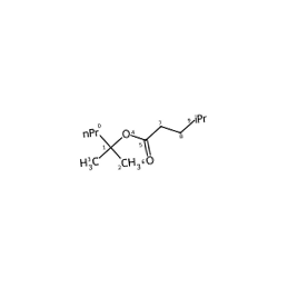 CCCC(C)(C)OC(=O)CCC(C)C